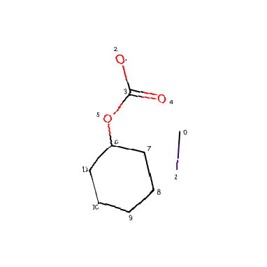 CI.[O]C(=O)OC1CCCCC1